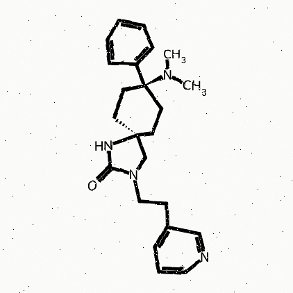 CN(C)[C@]1(c2ccccc2)CC[C@]2(CC1)CN(CCc1cccnc1)C(=O)N2